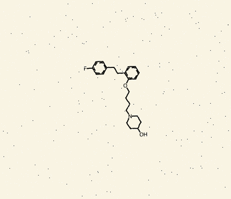 OC1CCN(CCCCOc2ccccc2CCc2ccc(F)cc2)CC1